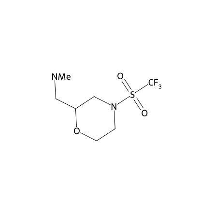 CNCC1CN(S(=O)(=O)C(F)(F)F)CCO1